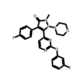 Cn1c(=O)c(-c2ccc(F)cc2)c(-c2ccnc(Oc3cccc(F)c3)n2)n1N1CCOCC1